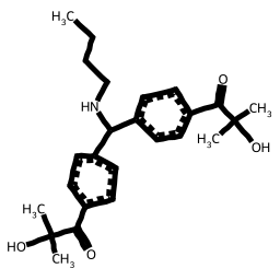 CCCCNC(c1ccc(C(=O)C(C)(C)O)cc1)c1ccc(C(=O)C(C)(C)O)cc1